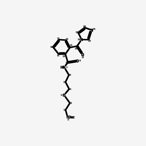 CCCCCCCCCCCCOCCCNC(=O)c1ccccc1C(=O)n1ccnc1